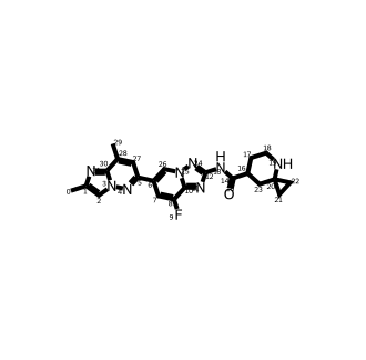 Cc1cn2nc(-c3cc(F)c4nc(NC(=O)C5CCNC6(CC6)C5)nn4c3)cc(C)c2n1